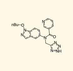 CCCCOn1ncc2cc(N(Cc3nn[nH]n3)C(=O)c3cccnc3)ccc21